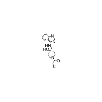 O=C(CCl)N1CCC(O)(CNc2ncnc3ccccc23)CC1